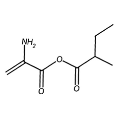 C=C(N)C(=O)OC(=O)C(C)CC